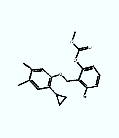 COC(=O)Oc1cccc(Br)c1COc1cc(C)c(C)cc1C1CC1